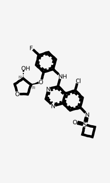 O=S1(=Nc2cc(Cl)c3c(Nc4ccc(F)cc4O[C@H]4COC[C@@H]4O)ncnc3c2)CCC1